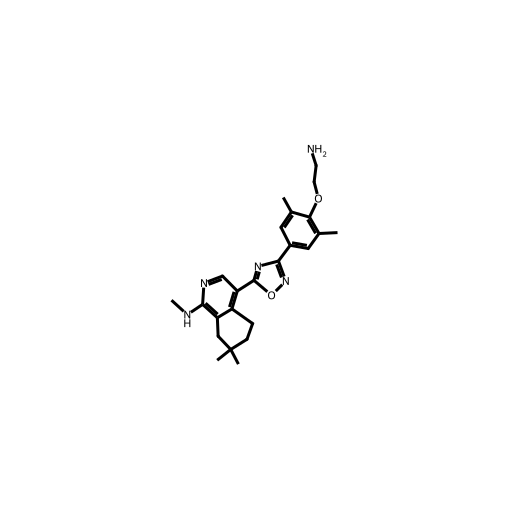 CNc1ncc(-c2nc(-c3cc(C)c(OCCN)c(C)c3)no2)c2c1CC(C)(C)CC2